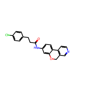 O=C(CCc1ccc(Cl)cc1)Nc1ccc2c(c1)OCc1cnccc1-2